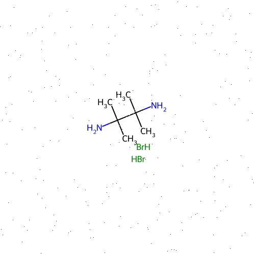 Br.Br.CC(C)(N)C(C)(C)N